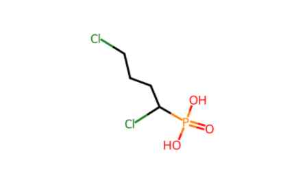 O=P(O)(O)C(Cl)CCCCl